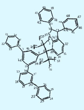 FC(F)(F)C(c1cc(-c2ccccc2)cc(-c2cccc(-c3ccccc3)c2)c1)(c1cccc2c1SC(c1ccccc1)C2c1ccccc1)C(F)(F)F